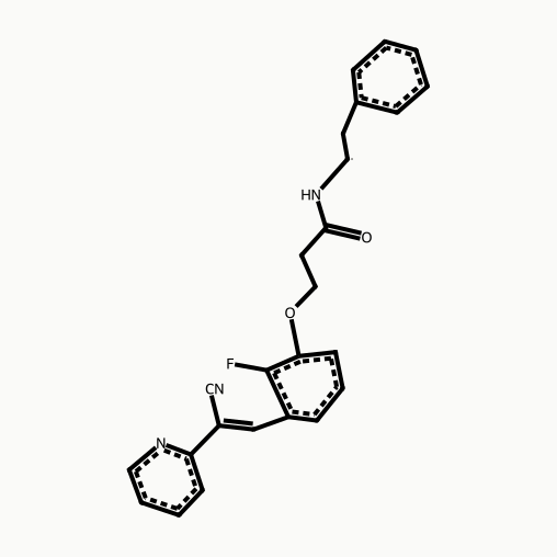 N#CC(=Cc1cccc(OCCC(=O)N[CH]Cc2ccccc2)c1F)c1ccccn1